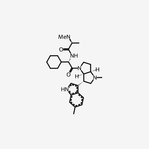 CN[C@@H](C)C(=O)N[C@H](C(=O)N1CC[C@@H]2[C@H]1[C@@H](c1c[nH]c3cc(C)ccc13)CN2C)C1CCCCC1